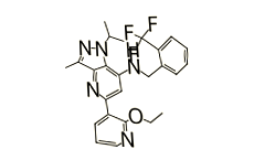 CCOc1ncccc1-c1cc(NCc2ccccc2C(F)(F)F)c2c(n1)c(C)nn2C(C)C